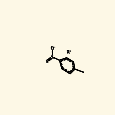 Cc1ccc(S([O-])=S)cc1.[K+]